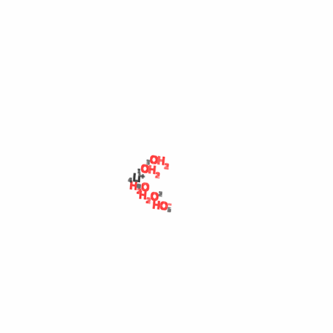 O.O.O.O.[Li+].[OH-]